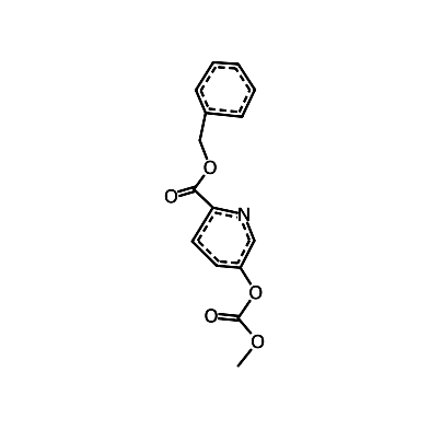 COC(=O)Oc1ccc(C(=O)OCc2ccccc2)nc1